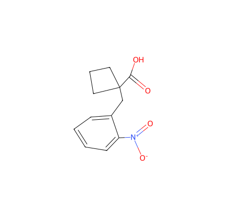 O=C(O)C1(Cc2ccccc2[N+](=O)[O-])CCC1